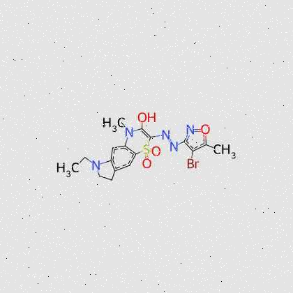 CCN1CCc2cc3c(cc21)N(C)C(O)=C(N=Nc1noc(C)c1Br)S3(=O)=O